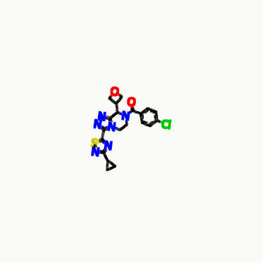 O=C(c1ccc(Cl)cc1)N1CCn2c(-c3nc(C4CC4)ns3)nnc2C1C1COC1